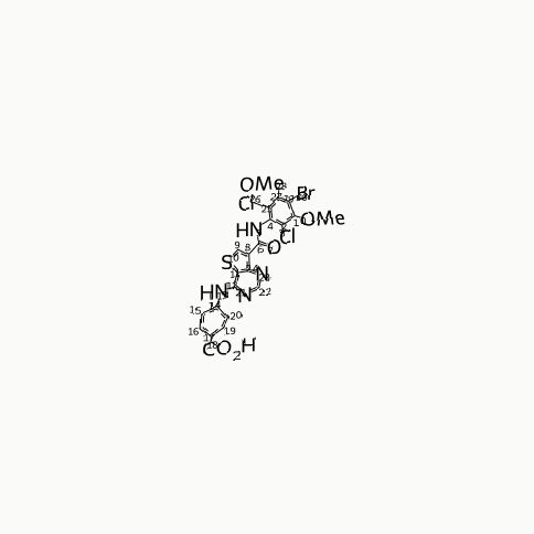 COc1c(Cl)c(NC(=O)c2csc3c(Nc4ccc(C(=O)O)cc4)ncnc23)c(Cl)c(OC)c1Br